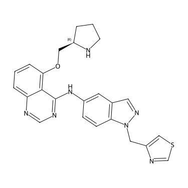 c1cc(OC[C@H]2CCCN2)c2c(Nc3ccc4c(cnn4Cc4cscn4)c3)ncnc2c1